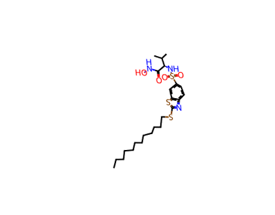 CCCCCCCCCCCCSc1nc2ccc(S(=O)(=O)N[C@@H](C(=O)NO)C(C)C)cc2s1